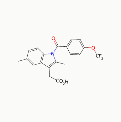 Cc1ccc2c(c1)c(CC(=O)O)c(C)n2C(=O)c1ccc(OC(F)(F)F)cc1